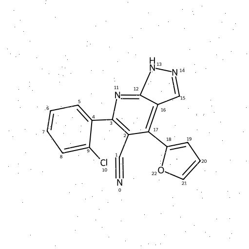 N#Cc1c(-c2ccccc2Cl)nc2[nH]ncc2c1-c1ccco1